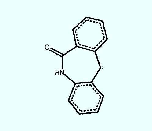 O=C1Nc2ccccc2[C]c2ccccc21